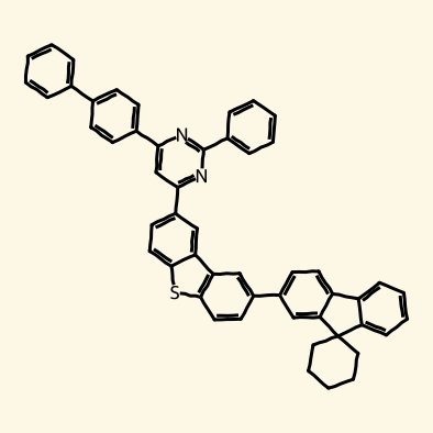 c1ccc(-c2ccc(-c3cc(-c4ccc5sc6ccc(-c7ccc8c(c7)C7(CCCCC7)c7ccccc7-8)cc6c5c4)nc(-c4ccccc4)n3)cc2)cc1